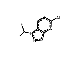 FC(F)n1ncc2nc(Cl)ccc21